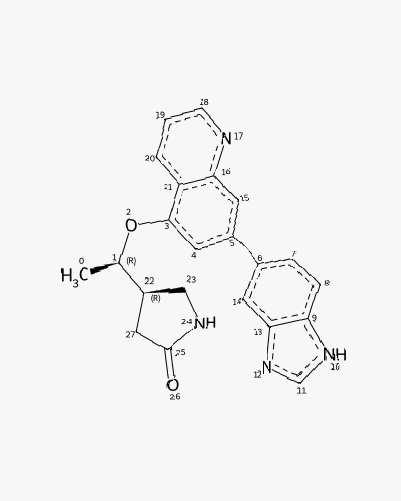 C[C@@H](Oc1cc(-c2ccc3[nH]cnc3c2)cc2ncccc12)[C@H]1CNC(=O)C1